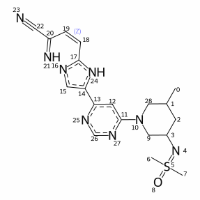 CC1CC(N=S(C)(C)=O)CN(c2cc(-c3cnc(/C=C\C(=N)C#N)[nH]3)ncn2)C1